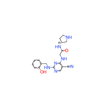 N#Cc1cnc(NCc2ccccc2O)nc1NCC(=O)N[C@@H]1CCNC1